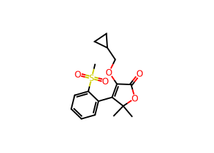 CC1(C)OC(=O)C(OCC2CC2)=C1c1ccccc1S(C)(=O)=O